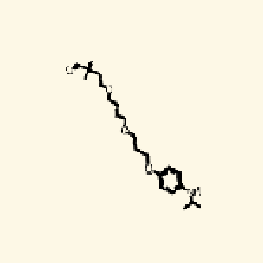 CC(C)Nc1ccc(OCCCOCCCCOCCC(C)(C)C=O)cc1